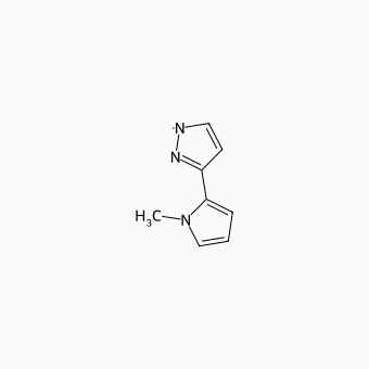 Cn1cccc1C1=N[N]C=C1